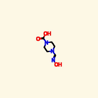 O=C(O)N1CCN(C=NO)CC1